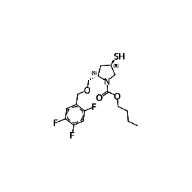 CCCCOC(=O)N1C[C@H](S)C[C@H]1COCc1cc(F)c(F)cc1F